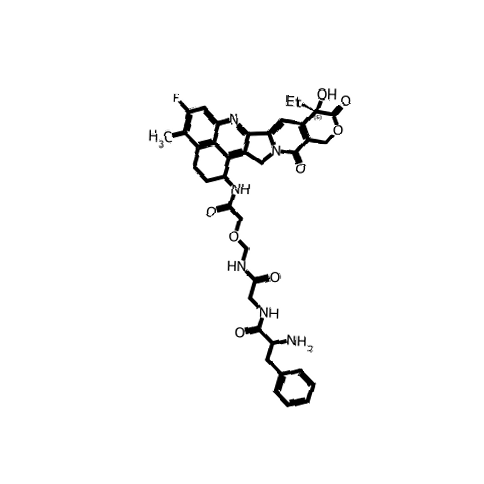 CC[C@@]1(O)C(=O)OCc2c1cc1n(c2=O)Cc2c-1nc1cc(F)c(C)c3c1c2C(NC(=O)COCNC(=O)CNC(=O)C(N)Cc1ccccc1)CC3